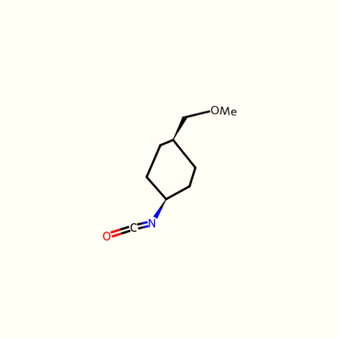 COC[C@H]1CC[C@@H](N=C=O)CC1